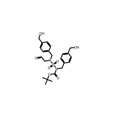 CC(C)(C)OC(=O)N(Cc1ccc(CO)cc1)S(=O)(=O)N(CC=O)Cc1ccc(CO)cc1